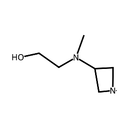 CN(CCO)C1C[N]C1